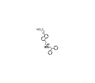 O=C(O)COc1cccc2c(CCS(=O)(=O)NCC(c3ccccc3)c3ccccc3)cccc12